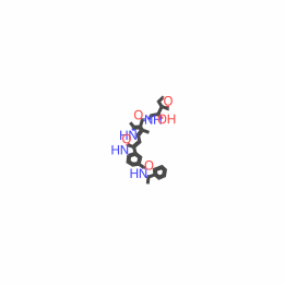 Cc1[nH]c(/C=C2\C(=O)Nc3ccc(C(=O)NC(C)c4ccccc4)cc32)c(C)c1C(=O)NCC(O)C1CCOC1